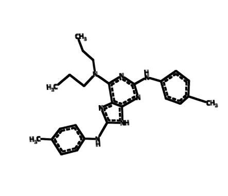 CCCN(CCC)c1nc(Nc2ccc(C)cc2)nc2[nH]c(Nc3ccc(C)cc3)nc12